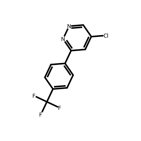 FC(F)(F)c1ccc(-c2cc(Cl)cnn2)cc1